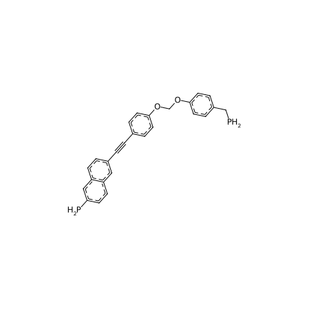 PCc1ccc(OCOc2ccc(C#Cc3ccc4cc(P)ccc4c3)cc2)cc1